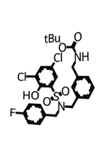 CC(C)(C)OC(=O)NCc1cccc(CN(Cc2ccc(F)cc2)S(=O)(=O)c2cc(Cl)cc(Cl)c2O)c1